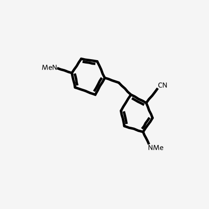 CNc1ccc(Cc2ccc(NC)cc2C#N)cc1